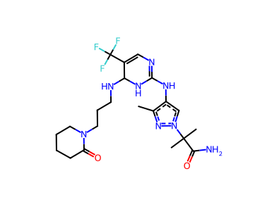 Cc1nn(C(C)(C)C(N)=O)cc1NC1=NC=C(C(F)(F)F)C(NCCCN2CCCCC2=O)N1